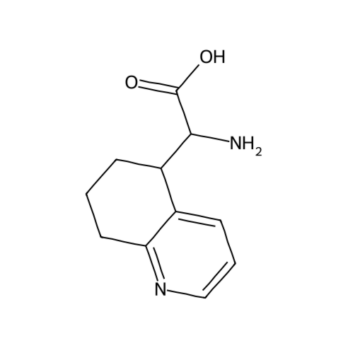 NC(C(=O)O)C1CCCc2ncccc21